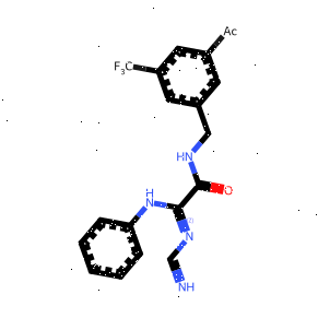 CC(=O)c1cc(CNC(=O)/C(=N/C=N)Nc2ccccc2)cc(C(F)(F)F)c1